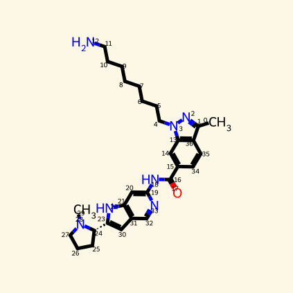 Cc1nn(CCCCCCCCN)c2cc(C(=O)Nc3cc4[nH]c([C@@H]5CCCN5C)cc4cn3)ccc12